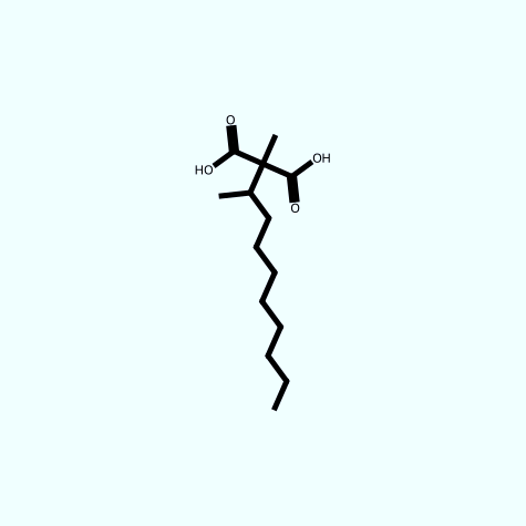 CCCCCCCCC(C)C(C)(C(=O)O)C(=O)O